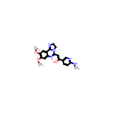 CNc1ccc(/C(O)=C/C2=Nc3cc(OC)c(OC)cc3C3=NCCN23)cn1